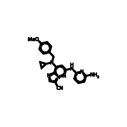 COc1ccc(CN(c2cc(Nc3cccc(N)n3)nn3c(C#N)cnc23)C2CC2)cc1